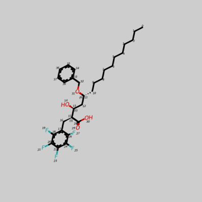 CCCCCCCCCCC[C@H](C[C@H](O)[C@H](Cc1c(F)c(F)c(F)c(F)c1F)C(=O)O)OCc1ccccc1